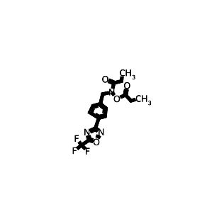 CCC(=O)ON(Cc1ccc(-c2noc(C(F)(F)F)n2)cc1)C(=O)CC